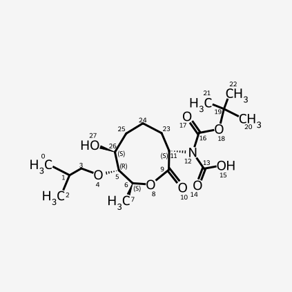 CC(C)CO[C@H]1[C@H](C)OC(=O)[C@@H](N(C(=O)O)C(=O)OC(C)(C)C)CCC[C@@H]1O